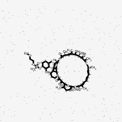 CCOCCOP(C)(=O)O[C@@H]1CCC(C[C@H]2C3CCCN4C(=O)C(=O)C5(O)O[C@@H](CCC5C)C[C@H](OC)/C(C)=C/C=C/C=C/[C@@H](C)CC(C)C(=O)[C@H](OC)C(O)/C(C)=C/[C@@H](C)C(=O)C[C@@H]2OC(=O)C34)CC1OC